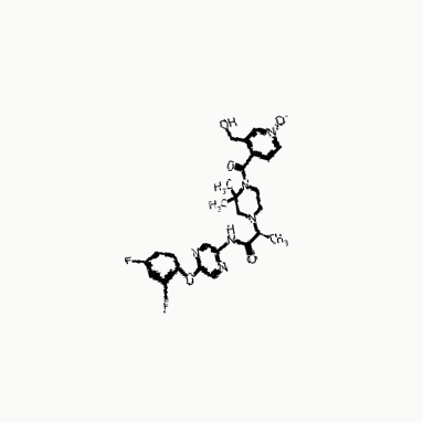 C[C@@H](C(=O)Nc1cnc(Oc2ccc(F)cc2F)cn1)N1CCN(C(=O)c2cc[n+]([O-])cc2CO)C(C)(C)C1